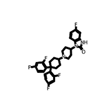 O=c1[nH]c2cc(F)ccc2n1C1CCN(C2CCC(c3ccc(F)cc3F)(c3ccc(F)cc3F)CC2)CC1